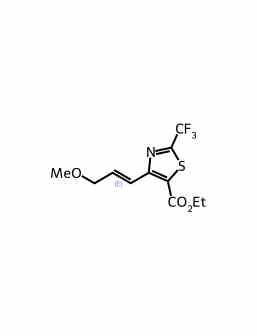 CCOC(=O)c1sc(C(F)(F)F)nc1/C=C/COC